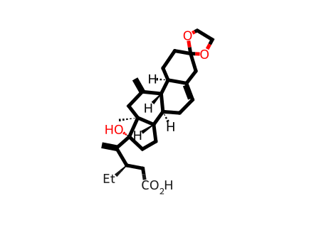 C=C1C[C@@]2(C)[C@@H](CC[C@@]2(O)C(=C)[C@H](CC)CC(=O)O)[C@@H]2CC=C3CC4(CC[C@@H]3[C@@H]12)OCCO4